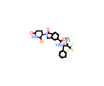 C=C([C@@H](NC(=O)c1ccc2c(c1)CN(C1CCC(=O)NC1=O)C2=O)c1ccccc1)C(F)(F)F